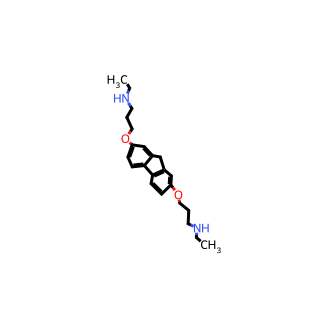 CCNCCCOc1ccc2c(c1)Cc1cc(OCCCNCC)ccc1-2